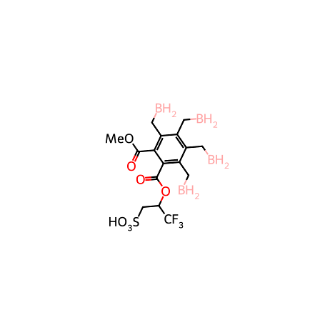 BCc1c(CB)c(CB)c(C(=O)OC(CS(=O)(=O)O)C(F)(F)F)c(C(=O)OC)c1CB